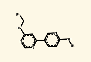 CCNc1ccc(-c2cc(NCC(C)C)ncn2)cn1